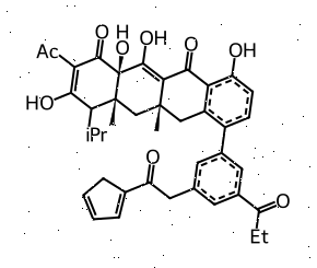 CCC(=O)c1cc(CC(=O)C2=CC=CC2)cc(-c2ccc(O)c3c2C[C@]2(C)C[C@]4(C)C(C(C)C)C(O)=C(C(C)=O)C(=O)[C@]4(O)C(O)=C2C3=O)c1